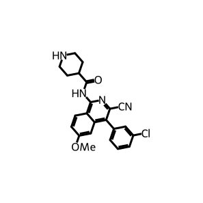 COc1ccc2c(NC(=O)C3CCNCC3)nc(C#N)c(-c3cccc(Cl)c3)c2c1